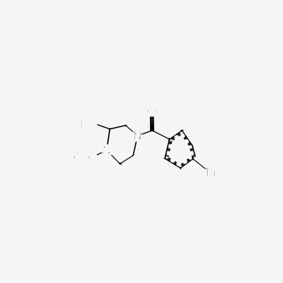 CC1CN(C(=O)c2ccc(Br)cc2)CCN1C(=O)O